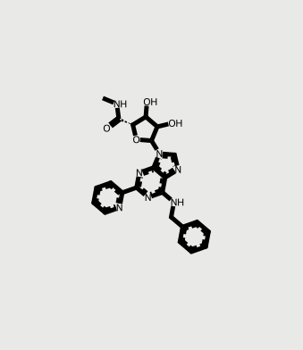 CNC(=O)[C@H]1OC(n2cnc3c(NCc4ccccc4)nc(-c4ccccn4)nc32)C(O)C1O